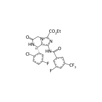 CCOC(=O)c1nc(NC(=O)c2cc(F)cc(C(F)(F)F)c2)c2n1CC(=O)N[C@H]2c1cc(F)ccc1Cl